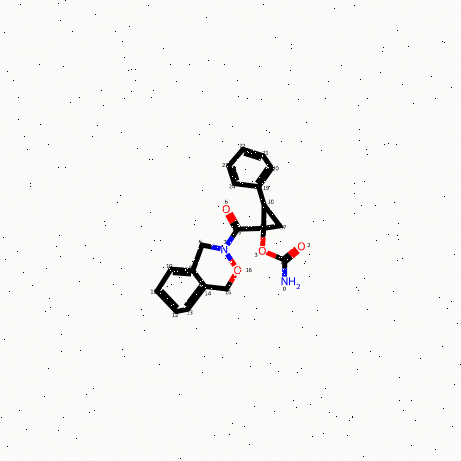 NC(=O)OC1(C(=O)N2Cc3ccccc3CO2)CC1c1ccccc1